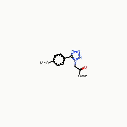 COC(=O)Cn1nnnc1-c1ccc(OC)cc1